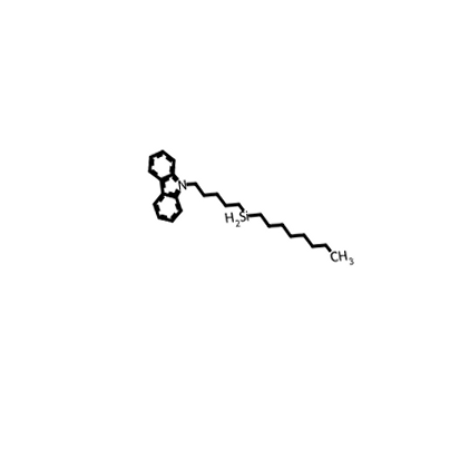 CCCCCCCC[SiH2]CCCCCn1c2ccccc2c2ccccc21